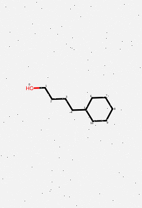 OCCCCC1C[CH]CCC1